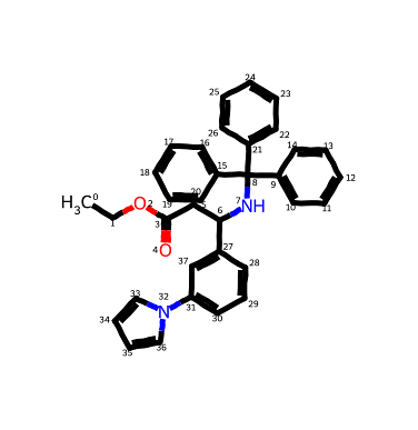 CCOC(=O)CC(NC(c1ccccc1)(c1ccccc1)c1ccccc1)c1cccc(-n2cccc2)c1